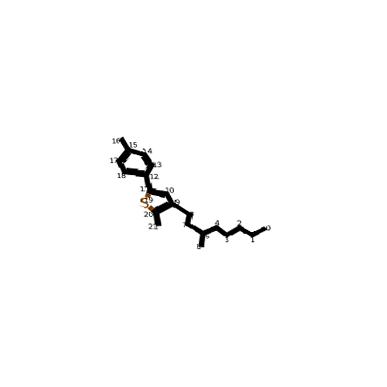 CCCCCC(C)CCc1cc(-c2ccc(C)cc2)sc1C